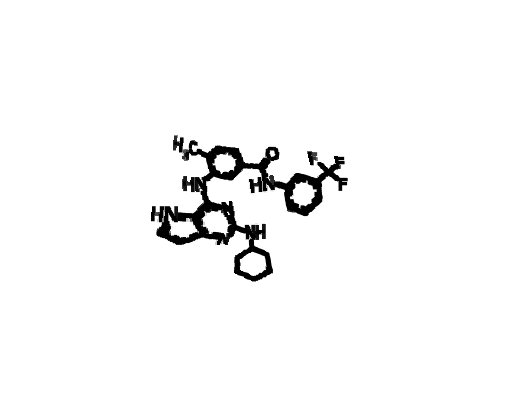 Cc1ccc(C(=O)Nc2cccc(C(F)(F)F)c2)cc1Nc1nc(NC2CCCCC2)nc2cc[nH]c12